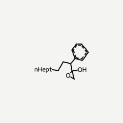 CCCCCCCCCC(c1ccccc1)C1(O)CO1